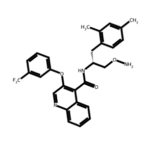 Cc1ccc(C[C@H](CON)NC(=O)c2c(Oc3cccc(C(F)(F)F)c3)cnc3ccccc23)c(C)c1